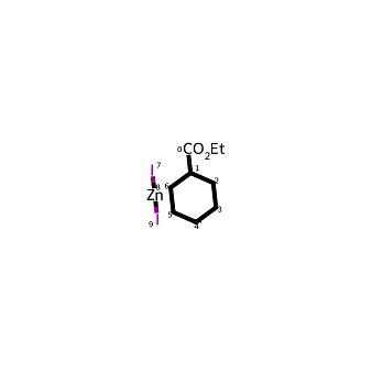 CCOC(=O)C1CC[CH]CC1.[I][Zn][I]